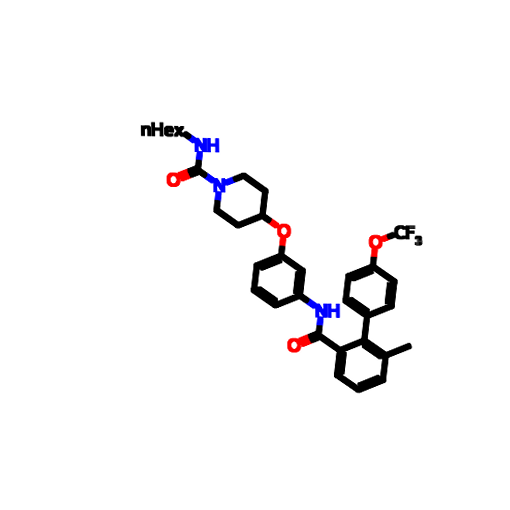 CCCCCCNC(=O)N1CCC(Oc2cccc(NC(=O)c3cccc(C)c3-c3ccc(OC(F)(F)F)cc3)c2)CC1